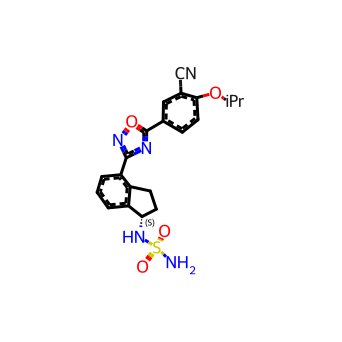 CC(C)Oc1ccc(-c2nc(-c3cccc4c3CC[C@@H]4NS(N)(=O)=O)no2)cc1C#N